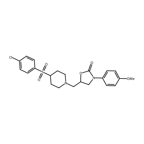 COc1ccc(N2CC(CN3CCC(S(=O)(=O)c4ccc(Cl)cc4)CC3)OC2=O)cc1